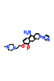 COc1c(OCCN2CCN(C)CC2)ccc2c(N)c3c(cc12)CN(n1ccnc1)C=C3